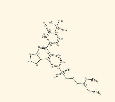 CCN(CC)CCCS(=O)(=O)c1ccc(/C(=C\C2CCCC2)c2ccc(C(F)(F)F)c(=O)[nH]2)cc1